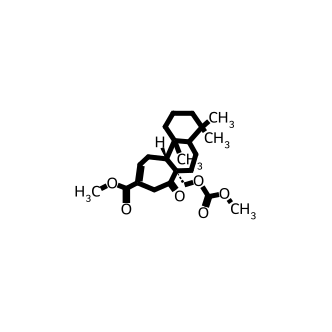 COC(=O)OC[C@@]12CCC3C(C)(C)CCCC3(C)[C@H]1CC=C(C(=O)OC)CC2=O